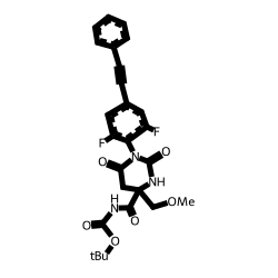 COCC1(C(=O)NC(=O)OC(C)(C)C)CC(=O)N(c2c(F)cc(C#Cc3ccccc3)cc2F)C(=O)N1